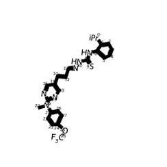 CC(C)c1ccccc1NC(=S)NN=CC=Cc1cnc(N(C)c2ccc(OC(F)(F)F)cc2)nc1